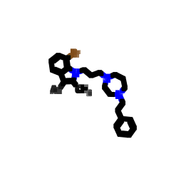 CC(=O)c1c(C)n(CCCN2CCCN(CCc3ccccc3)CC2)c2c(Br)cccc12